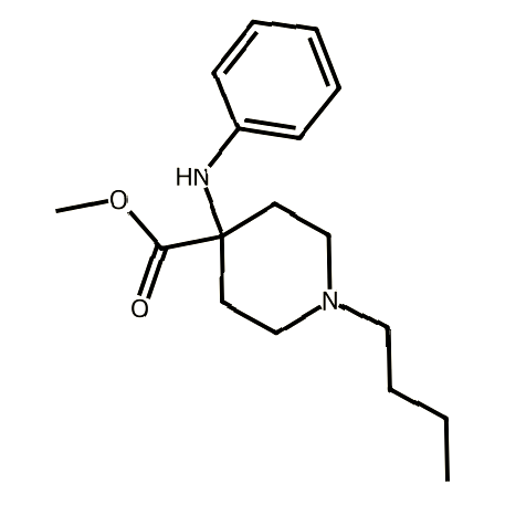 CCCCN1CCC(Nc2ccccc2)(C(=O)OC)CC1